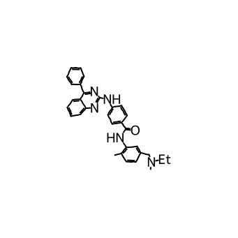 CCN(C)Cc1ccc(C)c(NC(=O)c2ccc(Nc3nc(-c4ccccc4)c4ccccc4n3)cc2)c1